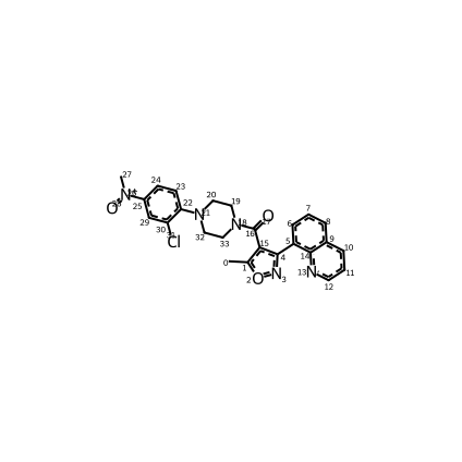 Cc1onc(-c2cccc3cccnc23)c1C(=O)N1CCN(c2ccc([N+](C)=O)cc2Cl)CC1